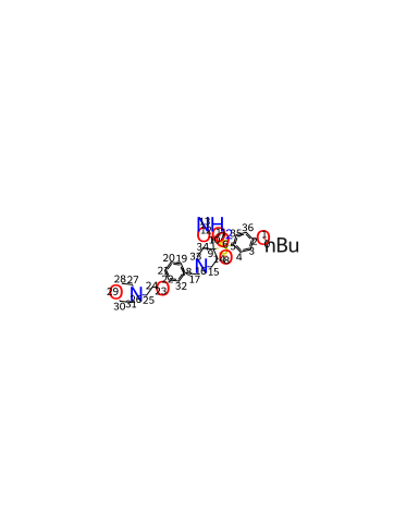 CCCCOc1ccc(S(=O)(=O)C2(C(=O)ON)CCN(Cc3cccc(OCCN4CCOCC4)c3)CC2)cc1